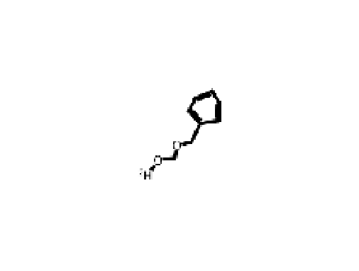 [2H]OCOCc1ccccc1